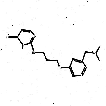 CN(C)Cc1cccc(OCCCNc2nccc(=O)[nH]2)c1